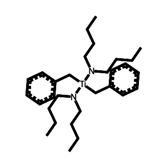 CCCC[N](CCCC)[Ti]([CH2]c1ccccc1)([CH2]c1ccccc1)[N](CCCC)CCCC